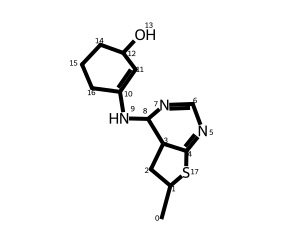 CC1CC2C(=NC=NC2NC2=CC(O)CCC2)S1